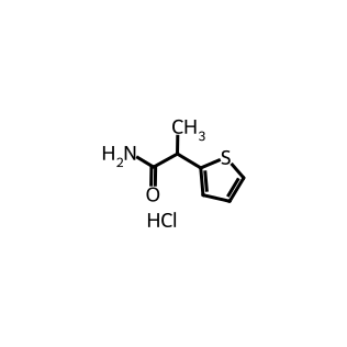 CC(C(N)=O)c1cccs1.Cl